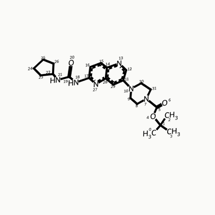 CC(C)(C)OC(=O)N1CCN(c2cnc3ccc(NC(=O)NC4CCCC4)nc3c2)CC1